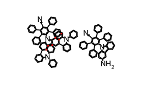 N#Cc1c(-c2ccccc2)c(-c2ccccc2)c(-n2c3ccc(-c4ccccc4N(c4ccccc4)c4ccccc4)cc3c3cc(-c4ccccc4N(c4ccccc4)c4ccccc4)ccc32)c(-c2ccccc2)c1-c1ccccc1.N#Cc1c(-c2ccccc2)c(-c2ccccc2)c(-n2c3ccccc3c3cc(N)ccc32)c(-c2ccccc2)c1-c1ccccc1